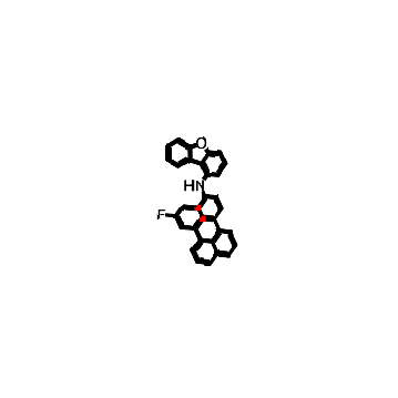 Fc1cccc(-c2cccc3cccc(-c4ccc(Nc5cccc6oc7ccccc7c56)cc4)c23)c1